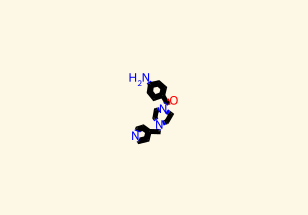 Nc1ccc(C(=O)N2CCN(Cc3ccncc3)CC2)cc1